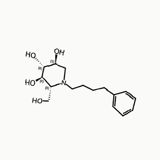 OC[C@@H]1[C@@H](O)[C@H](O)[C@@H](O)CN1CCCCc1ccccc1